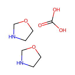 C1COCN1.C1COCN1.O=C(O)O